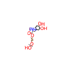 CC(C)(O)OCSCOC(=O)[C@H](Cc1ccc(O)c(O)c1)NI